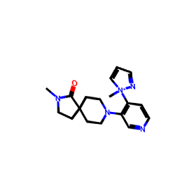 CN1CCC2(CCN(c3cnccc3[N+]3(C)C=CC=N3)CC2)C1=O